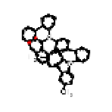 Cc1ccc2c(c1)c1cc(C)ccc1n2-c1ccccc1-c1ccc(N(c2ccccc2-c2ccccc2)c2cccc3ccccc23)cc1